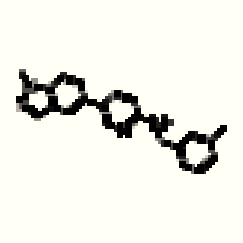 Cc1cccc(CNc2ccc(-c3ccc4c(cnn4C)c3)cn2)c1